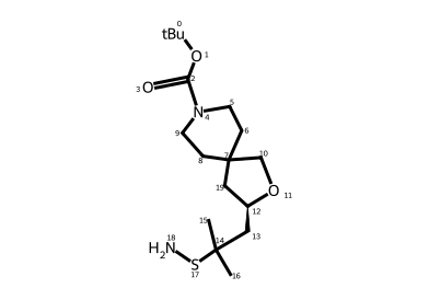 CC(C)(C)OC(=O)N1CCC2(CC1)CO[C@@H](CC(C)(C)SN)C2